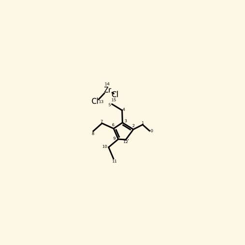 CCC1=C(CC)C(CC)=C(CC)[CH]1.[Cl][Zr][Cl]